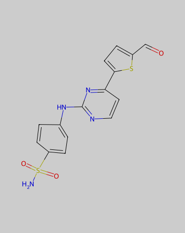 NS(=O)(=O)c1ccc(Nc2nccc(-c3ccc(C=O)s3)n2)cc1